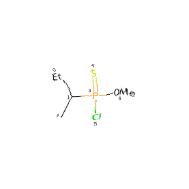 CCC(C)P(=S)(Cl)OC